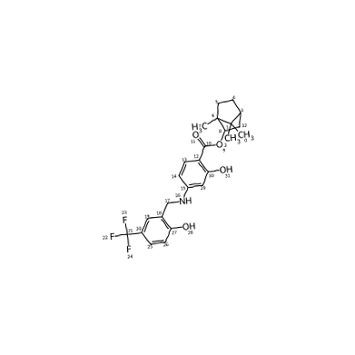 CC1(C)C2CCC1(C)C(OC(=O)c1ccc(NCc3cc(C(F)(F)F)ccc3O)cc1O)C2